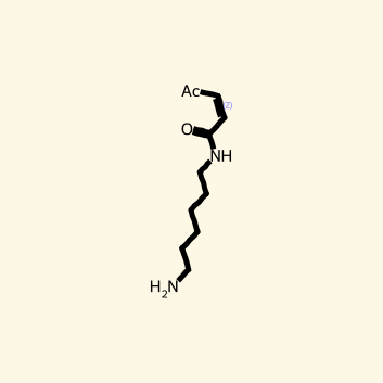 CC(=O)/C=C\C(=O)NCCCCCCN